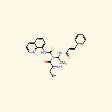 CC(C)C[C@H](N)C(=O)N(C(=S)Nc1cccc2cccnc12)C(NC(=O)/C=C/c1ccccc1)C(Cl)(Cl)Cl